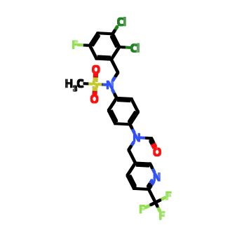 CS(=O)(=O)N(Cc1cc(F)cc(Cl)c1Cl)c1ccc(N(C=O)Cc2ccc(C(F)(F)F)nc2)cc1